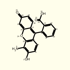 Nc1c(O)ccc2c(-c3ccccc3C(=O)O)c3ccc(=O)cc-3oc12